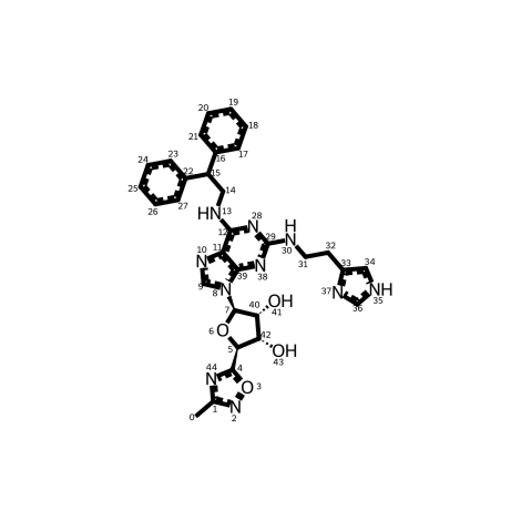 Cc1noc([C@H]2O[C@@H](n3cnc4c(NCC(c5ccccc5)c5ccccc5)nc(NCCc5c[nH]cn5)nc43)[C@H](O)[C@@H]2O)n1